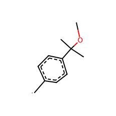 [CH2]c1ccc(C(C)(C)OC)cc1